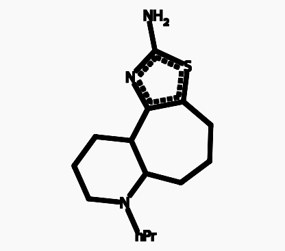 CCCN1CCCC2c3nc(N)sc3CCCC21